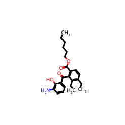 CCCCCCOC(=O)c1ccc(CC)c(CC)c1C(=O)c1cccc(N)c1O